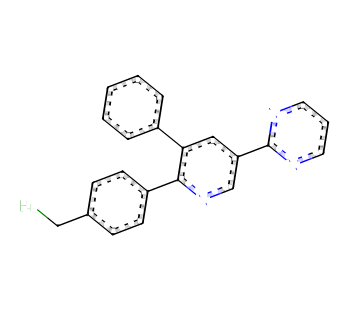 BrCc1ccc(-c2ncc(-c3ncccn3)cc2-c2ccccc2)cc1